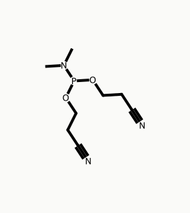 CN(C)P(OCCC#N)OCCC#N